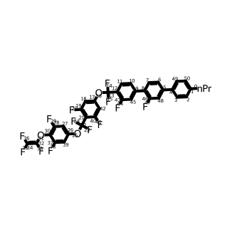 CCCc1ccc(-c2ccc(-c3ccc(C(F)(F)Oc4cc(F)c(C(F)(F)Oc5cc(F)c(OC(F)=C(F)F)c(F)c5)c(F)c4)c(F)c3)c(F)c2)cc1